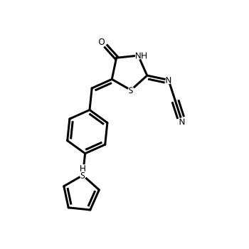 N#CN=C1NC(=O)C(=Cc2ccc([SH]3C=CC=C3)cc2)S1